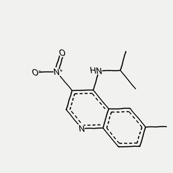 Cc1ccc2ncc([N+](=O)[O-])c(NC(C)C)c2c1